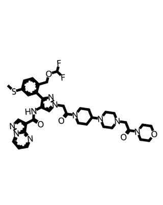 CSc1ccc(COC(F)F)c(-c2nn(CC(=O)N3CCC(N4CCN(CC(=O)N5CCOCC5)CC4)CC3)cc2NC(=O)c2cnn3cccnc23)c1